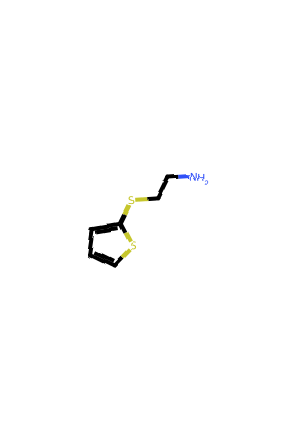 NCCSc1cccs1